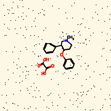 CN1CCC(Oc2ccccc2)C(c2ccccc2)C1.O=C(O)C(=O)O